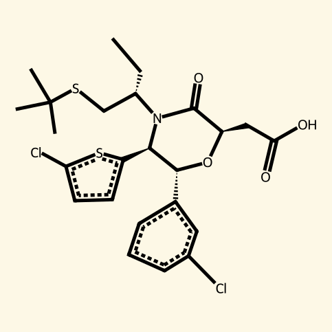 CC[C@@H](CSC(C)(C)C)N1C(=O)[C@@H](CC(=O)O)O[C@H](c2cccc(Cl)c2)[C@H]1c1ccc(Cl)s1